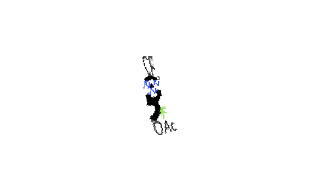 CC(=O)OCC(F)C1=CCN(c2ncc(C(F)(F)F)cn2)CC1